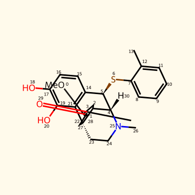 COC1=CC2[C@@H]3[C@H](Sc4ccccc4C)c4ccc(O)c(O)c4[C@]2(CCN3C)CC1=O